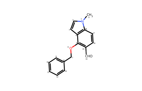 Cn1ccc2c(OCc3ccccc3)c(C=O)ccc21